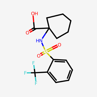 O=C(O)C1(NS(=O)(=O)c2ccccc2C(F)(F)F)CCCCC1